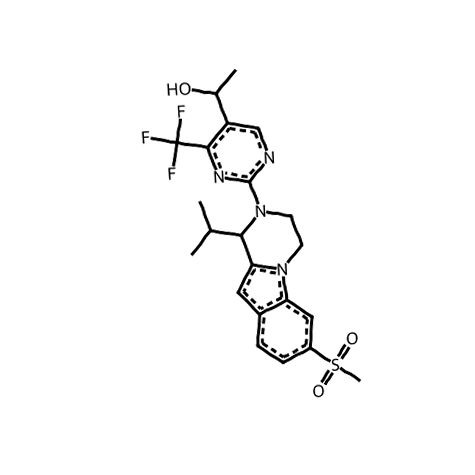 CC(O)c1cnc(N2CCn3c(cc4ccc(S(C)(=O)=O)cc43)C2C(C)C)nc1C(F)(F)F